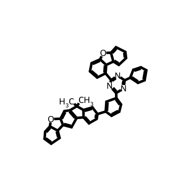 CC1(C)c2cc(-c3cccc(-c4nc(-c5ccccc5)nc(-c5cccc6oc7ccccc7c56)n4)c3)ccc2-c2cc3c(cc21)oc1ccccc13